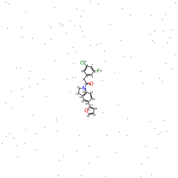 O=C(Cc1cc(F)cc(Cl)c1)N1CCc2cc(-c3ccco3)ccc21